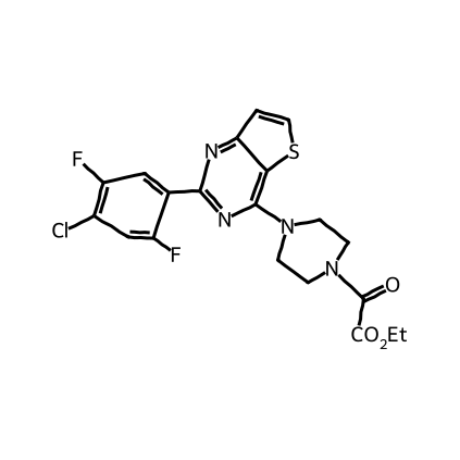 CCOC(=O)C(=O)N1CCN(c2nc(-c3cc(F)c(Cl)cc3F)nc3ccsc23)CC1